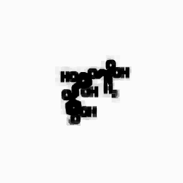 COc1ccc(C(=O)C=CC2C(O)=CC(OCCC(N)C(=O)O)=CC2O)cc1O